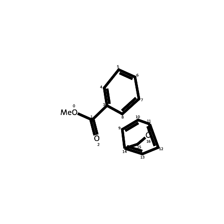 COC(=O)c1ccccc1.c1cc2ccc1CO2